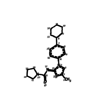 Cc1cn(-c2ccc(C3CCCCC3)cc2)c(=NC(=O)N2CCCC2)s1